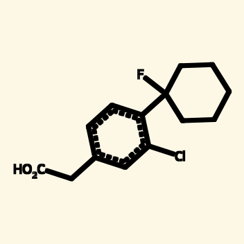 O=C(O)Cc1ccc(C2(F)CCCCC2)c(Cl)c1